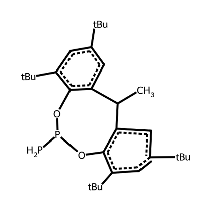 CC1c2cc(C(C)(C)C)cc(C(C)(C)C)c2OP(P)Oc2c1cc(C(C)(C)C)cc2C(C)(C)C